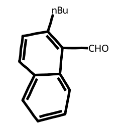 CCCCc1ccc2ccccc2c1C=O